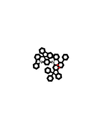 c1ccc(-c2ccccc2-c2ccccc2N(c2ccc3c(c2)C(c2ccccc2)(c2ccccc2)c2ccccc2-3)c2ccc3c(c2)C2(c4ccccc4-c4ccccc42)c2cccc4c5ccccc5n-3c24)cc1